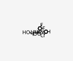 CC(C)(CCO)ONC(=O)c1ccc(F)c(F)c1Nc1ccc(I)cc1Cl